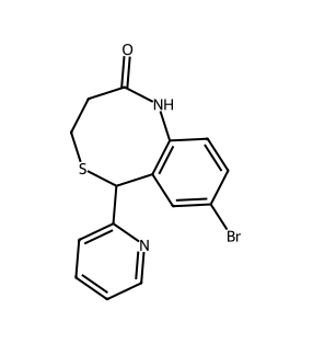 O=C1CCSC(c2ccccn2)c2cc(Br)ccc2N1